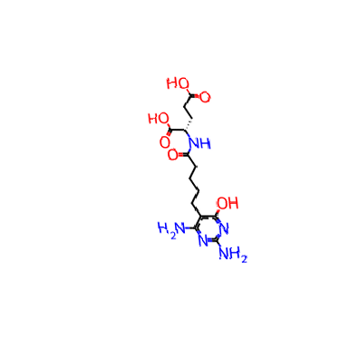 Nc1nc(N)c(CCCCC(=O)N[C@@H](CCC(=O)O)C(=O)O)c(O)n1